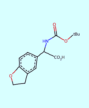 CC(C)(C)OC(=O)NC(C(=O)O)c1ccc2c(c1)CCO2